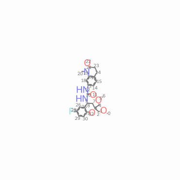 COCC1(COC)C[C@@H](NC(=O)Nc2ccc3c(c2)N(C)C(=O)CC3)c2cc(F)ccc2O1